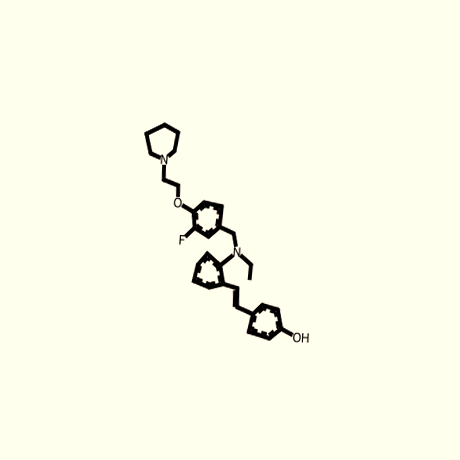 CCN(Cc1ccc(OCCN2CCCCC2)c(F)c1)c1ccccc1C=Cc1ccc(O)cc1